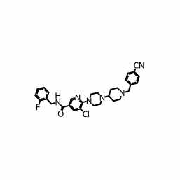 N#Cc1ccc(CN2CCC(N3CCN(c4ncc(C(=O)NCc5ccccc5F)cc4Cl)CC3)CC2)cc1